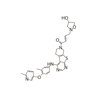 Cc1ccc(Oc2ccc(Nc3ncnc4sc5c(c34)CCN(C(=O)/C=C/CN3CC(O)CO3)C5)cc2C)cn1